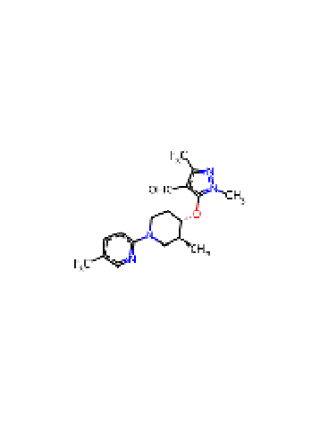 C[C@H]1CN(c2ccc(C(F)(F)F)cn2)CC[C@@H]1Oc1c(C=O)c(C(F)(F)F)nn1C